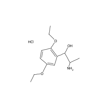 CCOc1ccc(OCC)c(C(O)C(C)N)c1.Cl